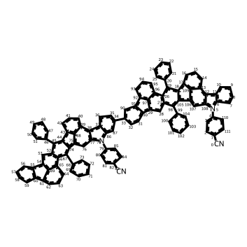 N#Cc1ccc(-n2c3ccccc3c3c4cccc5c6c(-c7ccccc7)c7c(cc8c9ccc(-c%10ccc%11c%12c%13cccc%14c%15c(-c%16ccccc%16)c%16cc%17c%18ccccc%18c%18cccc(c%16c(-c%16ccccc%16)c%15c(cc%12n(-c%12ccc(C#N)cc%12)c%11c%10)c%14%13)c%18%17)cc9c9cccc7c98)c(-c7ccccc7)c6c(cc32)c54)cc1